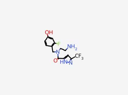 NCCN(Cc1ccc(O)cc1F)C(=O)c1cc(C(F)(F)F)n[nH]1